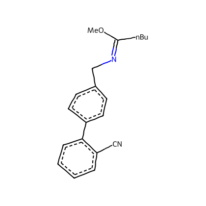 CCCCC(=NCc1ccc(-c2ccccc2C#N)cc1)OC